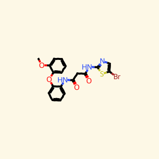 COc1ccccc1Oc1ccccc1NC(=O)CC(=O)Nc1ncc(Br)s1